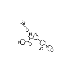 COc1cc(-c2cnc3c(c2)c(C(=O)c2ccncc2)cn3COCC[Si](C)(C)C)ccc1N1CCOCC1